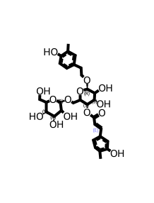 Cc1cc(CCO[C@@H]2OC(CO[C@@H]3OC(CO)[C@@H](O)[C@@H](O)C3O)[C@@H](OC(=O)/C=C/c3ccc(C)c(O)c3)[C@@H](O)C2O)ccc1O